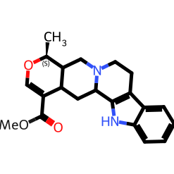 COC(=O)C1=CO[C@@H](C)C2CN3CCc4c([nH]c5ccccc45)C3CC12